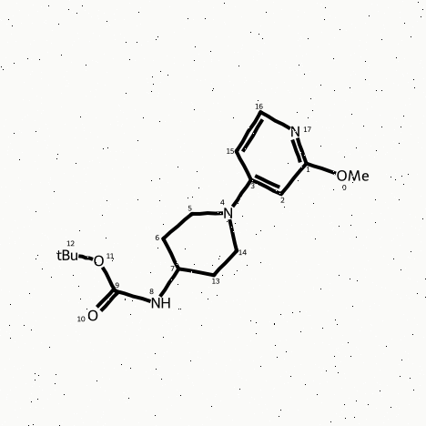 COc1cc(N2CCC(NC(=O)OC(C)(C)C)CC2)ccn1